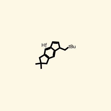 CC(C)(C)C[C]1C=Cc2cc3c(cc21)CC(C)(C)C3.[Hf]